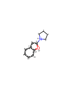 [CH]1CCCN1c1cc2ccccc2o1